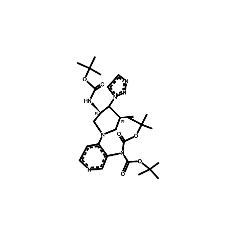 C[C@H]1CN(c2ccncc2N(C(=O)OC(C)(C)C)C(=O)OC(C)(C)C)C[C@@H](NC(=O)OC(C)(C)C)C1n1ccnn1